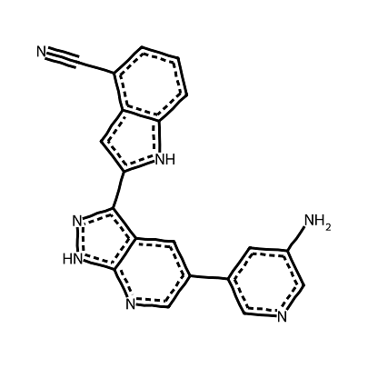 N#Cc1cccc2[nH]c(-c3n[nH]c4ncc(-c5cncc(N)c5)cc34)cc12